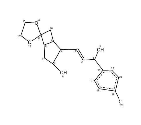 OC(C=CC1C(O)CC2C1CC21OCCO1)c1ccc(Cl)cc1